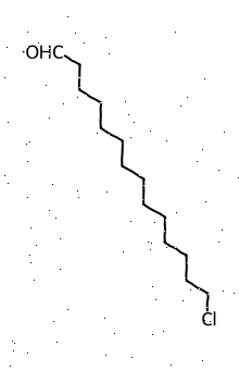 O=[C]CCCCCCCCCCCCCCl